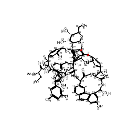 CN[C@H](CC(C)C)C(=O)N[C@H]1C(=O)N[C@@H](CC(N)=O)C(=O)NC2C(=O)N[C@H]3C(=O)N[C@H](C(=O)N[C@@H](C(=O)O)c4cc(O)cc(O)c4-c4cc3ccc4O)[C@H](O)c3ccc(c(Cl)c3)Oc3cc2cc(c3OC2O[C@H](CO)[C@@H](O)[C@@H](O)[C@@H]2O[C@@H]2C[C@](C)(NCc3cncc(C(=O)Nc4cc(Cl)cc(Cl)c4)c3)[C@H](O)[C@H](C)O2)Oc2ccc(cc2Cl)[C@H]1O